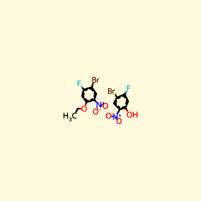 CCOc1cc(F)c(Br)cc1[N+](=O)[O-].O=[N+]([O-])c1cc(Br)c(F)cc1O